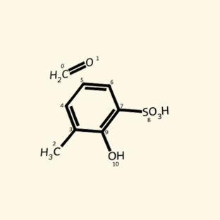 C=O.Cc1cccc(S(=O)(=O)O)c1O